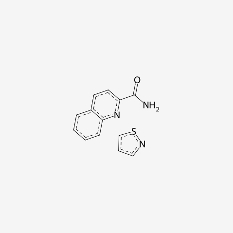 NC(=O)c1ccc2ccccc2n1.c1cnsc1